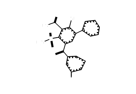 C=C(c1cccc(F)c1)c1cc(-c2ccccc2)c(N)c(C(N)=O)c1S(N)(=O)=O